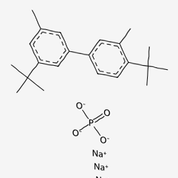 Cc1cc(-c2ccc(C(C)(C)C)c(C)c2)cc(C(C)(C)C)c1.O=P([O-])([O-])[O-].[Na+].[Na+].[Na+]